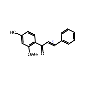 COc1cc(O)ccc1C(=O)/C=C/c1ccccc1